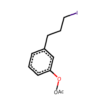 CC(=O)OOc1cccc(CCCI)c1